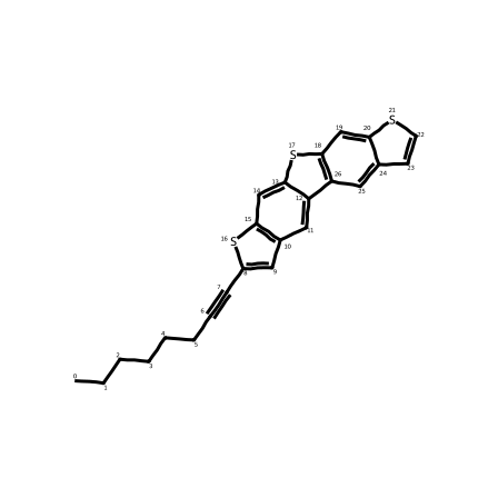 CCCCCCC#Cc1cc2cc3c(cc2s1)sc1cc2sccc2cc13